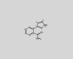 NC(=O)c1ccccc1-c1cn[nH]c1